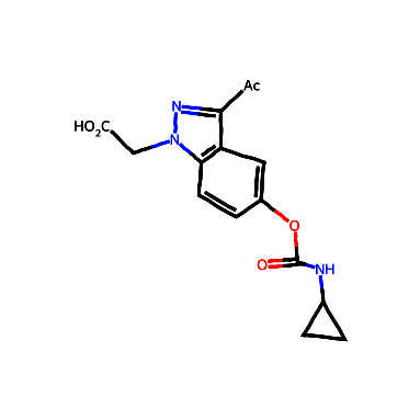 CC(=O)c1nn(CC(=O)O)c2ccc(OC(=O)NC3CC3)cc12